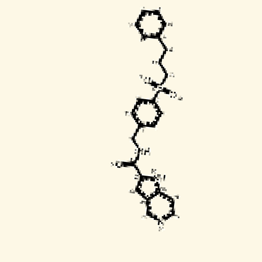 O=C(NCc1ccc(S(=O)(=O)CCCc2ccccc2)cc1)c1cc2cnccc2[nH]1